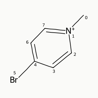 C[n+]1ccc(Br)cc1